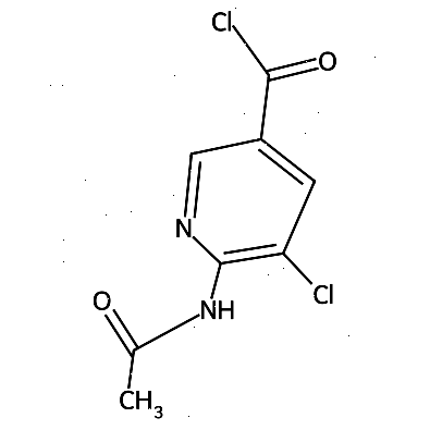 CC(=O)Nc1ncc(C(=O)Cl)cc1Cl